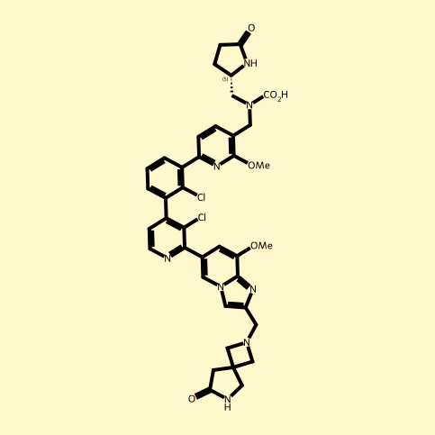 COc1nc(-c2cccc(-c3ccnc(-c4cc(OC)c5nc(CN6CC7(CNC(=O)C7)C6)cn5c4)c3Cl)c2Cl)ccc1CN(C[C@@H]1CCC(=O)N1)C(=O)O